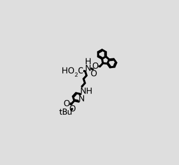 CC(C)(C)OC(=O)c1ccc(NCCCCC(NC(=O)OCC2c3ccccc3-c3ccccc32)C(=O)O)nc1